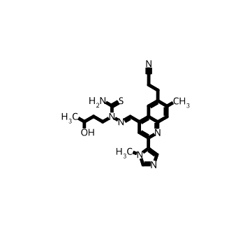 Cc1cc2nc(-c3cncn3C)cc(/C=N/N(CCC(C)O)C(N)=S)c2cc1CCC#N